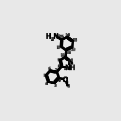 COc1ccccc1-c1cc(-c2cccc(N)c2)n[nH]1